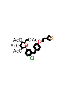 CC(=O)OC[C@H]1O[C@@H](c2ccc(Cl)c(Cc3ccc(OCCC4CSC4)cc3)c2)[C@H](OC(C)=O)[C@@H](OC(C)=O)[C@@H]1OC(C)=O